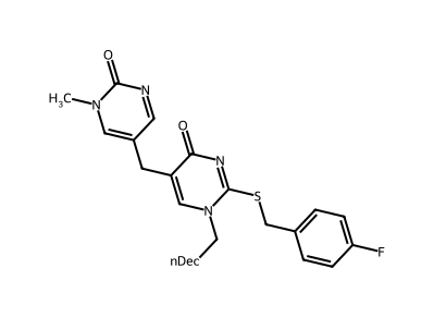 CCCCCCCCCCCn1cc(Cc2cnc(=O)n(C)c2)c(=O)nc1SCc1ccc(F)cc1